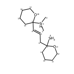 C[SiH](C)C1(C=CCC2([SiH3])CCCCO2)CCCCO1